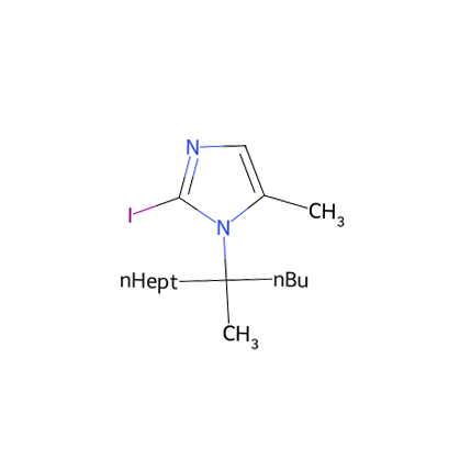 CCCCCCCC(C)(CCCC)n1c(C)cnc1I